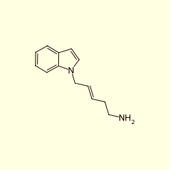 NCCC=CCn1ccc2ccccc21